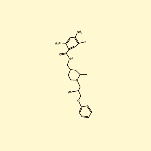 COc1cc(N)c(Cl)cc1C(=O)NCC1CCN(CC(O)COc2ccccc2)C(I)C1